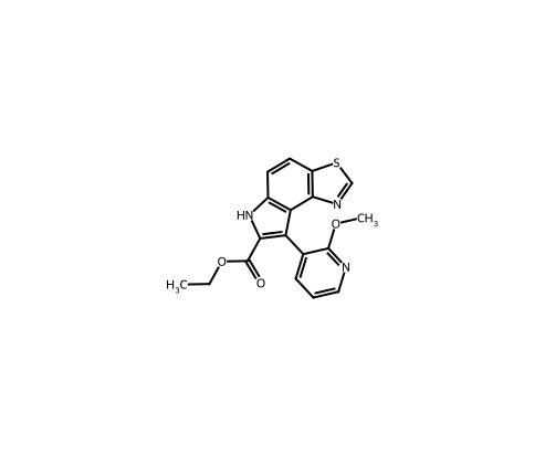 CCOC(=O)c1[nH]c2ccc3scnc3c2c1-c1cccnc1OC